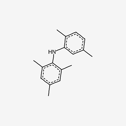 Cc1cc(C)c(Nc2cc(C)ccc2C)c(C)c1